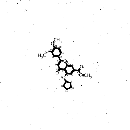 COC(=O)c1cc(OC2CCCC2)c2c(=O)cc(-c3ccc(OC)c(OC)c3)oc2c1